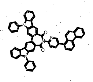 O=c1c2cc3c(cc2c2cc4c(cc2c(=O)n1-c1ccc(-c2cccc5c2ccc2ccccc25)cn1)c1ccccc1n4-c1ccccc1)c1ccccc1n3-c1ccccc1